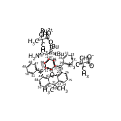 CC(C)(C)C(=O)[O-].CC(C)(C)C(=O)[O-].CC(C)(C)P(CCN)C(C)(C)C.CC1(C)c2cccc(P(c3ccccc3)c3ccccc3)c2Oc2c(P(c3ccccc3)c3ccccc3)cccc21.[Ru+2]